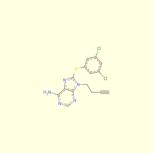 C#CCCn1c(Sc2cc(Cl)cc(Cl)c2)nc2c(N)ncnc21